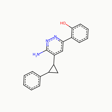 Nc1nnc(-c2ccccc2O)cc1C1CC1c1ccccc1